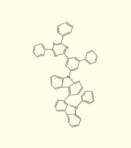 c1ccc(-c2cc(-c3nc(-c4ccccc4)nc(-c4ccccc4)n3)cc(-n3c4ccccc4c4c(-c5cccc6c7ccccc7n(-c7ccccc7)c56)cccc43)c2)cc1